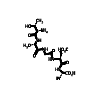 CC(C)[C@H](NC(=O)[C@H](CC(=O)O)NC(=O)CNC(=O)[C@H](C)NC(=O)[C@@H](N)[C@@H](C)O)C(=O)O